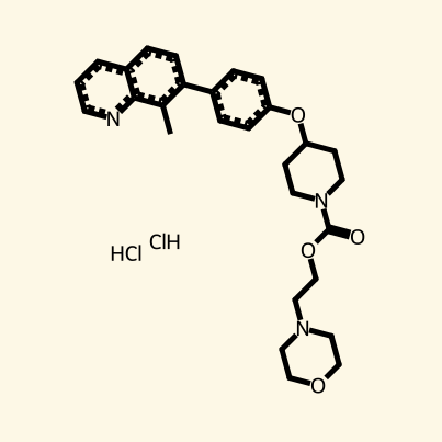 Cc1c(-c2ccc(OC3CCN(C(=O)OCCN4CCOCC4)CC3)cc2)ccc2cccnc12.Cl.Cl